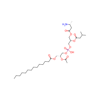 CCCCCCCCCCCCCC(=O)OC[C@H](COP(=O)(O)OCC(COC(=O)C[C@@H](C)N)OC(=O)CC(C)C)OC(C)=O